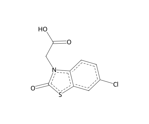 O=C(O)Cn1c(=O)sc2cc(Cl)ccc21